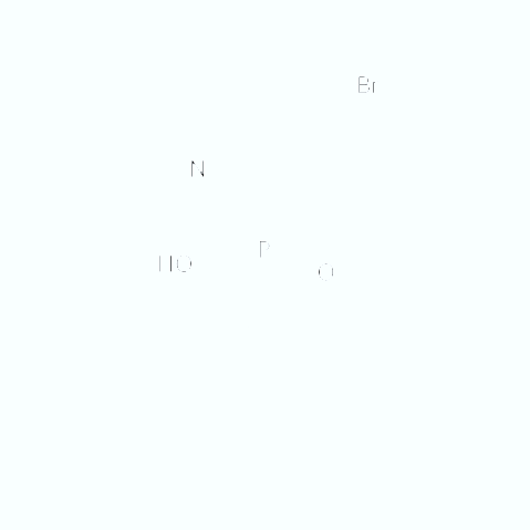 Cc1cc(Br)cc(P(=O)(O)c2ccccc2)n1